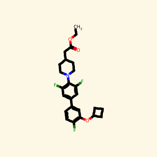 CCOC(=O)CC1CCN(c2c(F)cc(-c3ccc(F)c(OC4CCC4)c3)cc2F)CC1